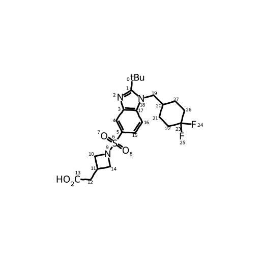 CC(C)(C)c1nc2cc(S(=O)(=O)N3CC(CC(=O)O)C3)ccc2n1CC1CCC(F)(F)CC1